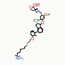 CCOc1cc(O[C@H]2CCc3c(-c4cccc(OCCCCCCCCCC(C)(C)N)c4C)cccc32)c(Cl)cc1CN1CC(CC)(C(=O)O)C1